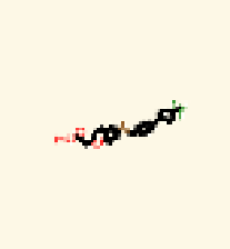 O=C(O)CC1CCc2cc(SCc3ccc(-c4ccc(C(F)(F)F)cc4)cc3)ccc2O1